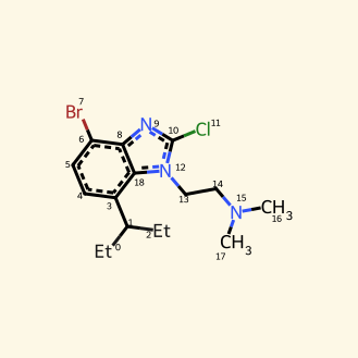 CCC(CC)c1ccc(Br)c2nc(Cl)n(CCN(C)C)c12